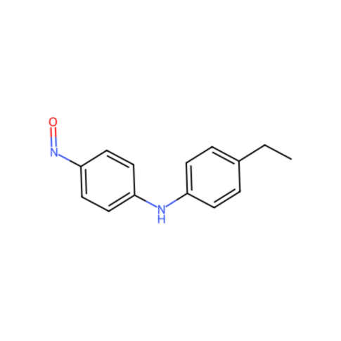 CCc1ccc(Nc2ccc(N=O)cc2)cc1